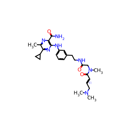 Cc1nc(C(N)=O)c(Nc2cccc(CCNC(=O)CN(C)C(=O)/C=C/CN(C)C)c2)nc1C1CC1